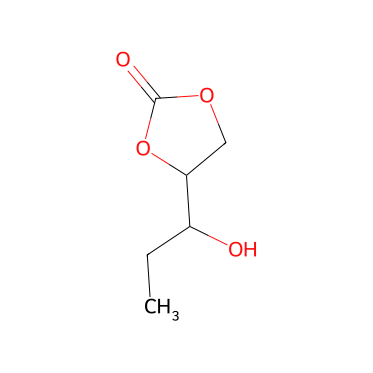 CCC(O)C1COC(=O)O1